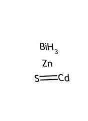 [BiH3].[S]=[Cd].[Zn]